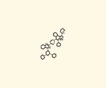 C1=CC(c2c(-c3ccccc3)n3ncc(-c4ccccc4)c3c3ccccc23)CC=C1c1nc(-c2cc(-c3ccccc3)cc(-c3ccccc3)c2)c2ccccc2n1